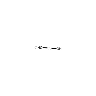 [C].[OH][Cu][OH]